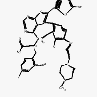 Cc1c(-c2c(-c3ccc(F)o3)sc3ncnc(O[C@H](Cc4ccc(F)cc4O)C(=O)O)c23)ccc(OCCN2CCN(C)CC2)c1Cl